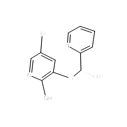 C[C@H](Oc1cc(Br)cnc1N)c1ccccn1